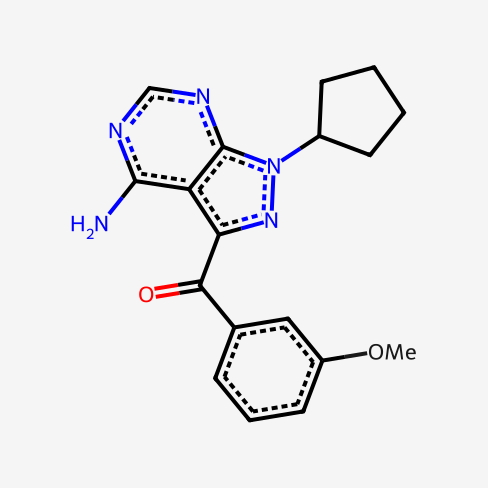 COc1cccc(C(=O)c2nn(C3CCCC3)c3ncnc(N)c23)c1